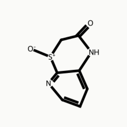 O=C1C[S+]([O-])c2ncccc2N1